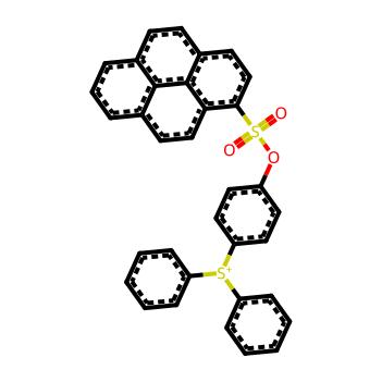 O=S(=O)(Oc1ccc([S+](c2ccccc2)c2ccccc2)cc1)c1ccc2ccc3cccc4ccc1c2c34